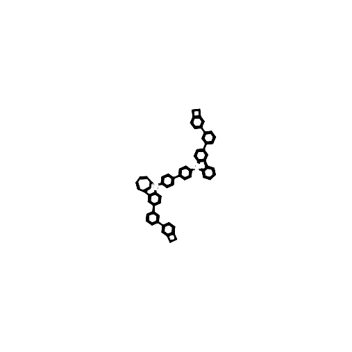 C1=CC2=CC(C=C1)N(c1ccc(-c3ccc(-n4c5ccccc5c5cc(-c6cccc(-c7ccc8c(c7)CC8)c6)ccc54)cc3)cc1)c1ccc(-c3cccc(-c4ccc5c(c4)CC5)c3)cc12